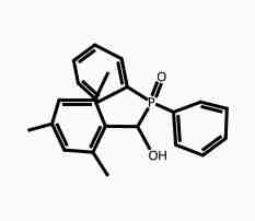 Cc1cc(C)c(C(O)P(=O)(c2ccccc2)c2ccccc2)c(C)c1